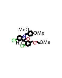 COCCOCc1ccc(Cl)c(C2(C)C(=O)N(Cc3ccc(OC)cc3OC)c3ccc(Cl)cc32)c1